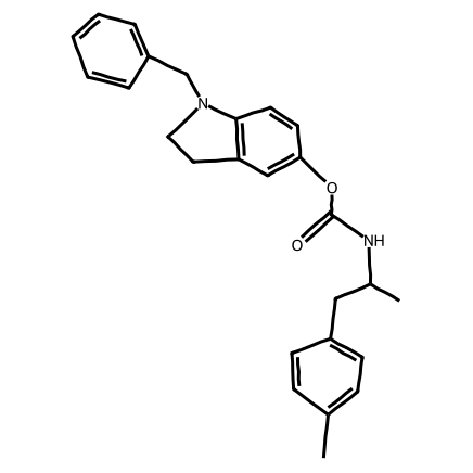 Cc1ccc(CC(C)NC(=O)Oc2ccc3c(c2)CCN3Cc2ccccc2)cc1